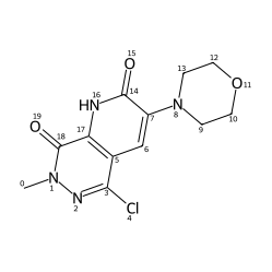 Cn1nc(Cl)c2cc(N3CCOCC3)c(=O)[nH]c2c1=O